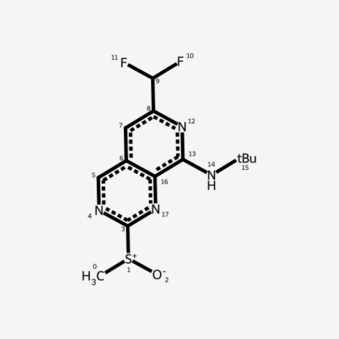 C[S+]([O-])c1ncc2cc(C(F)F)nc(NC(C)(C)C)c2n1